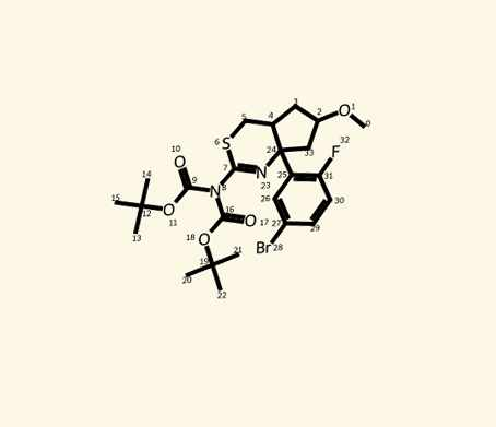 COC1CC2CSC(N(C(=O)OC(C)(C)C)C(=O)OC(C)(C)C)=NC2(c2cc(Br)ccc2F)C1